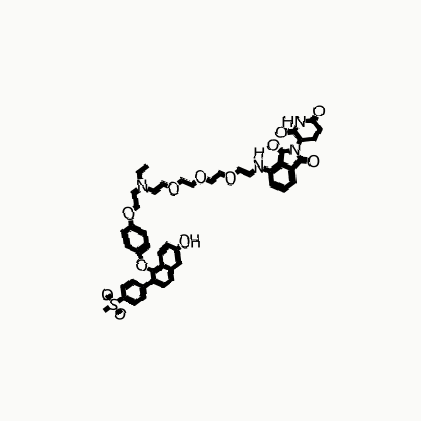 CCN(CCOCCOCCOCCNc1cccc2c1C(=O)N(C1CCC(=O)NC1=O)C2=O)CCOc1ccc(Oc2c(-c3ccc(S(C)(=O)=O)cc3)ccc3cc(O)ccc23)cc1